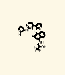 Cc1cc(NCC(O)C(F)(F)F)c2ccccc2c1Oc1ncccc1-c1ccnc(N[C@H]2CCCNC2)n1